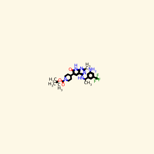 Cc1nc(N[C@H](C)c2cc(N)cc(C(F)(F)F)c2)c2cc(C3CCN(C(=O)OC(C)(C)C)CC3)c(=O)[nH]c2n1